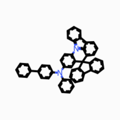 c1ccc(-c2ccc(N(c3ccccc3)c3ccc4c(c3)C3(c5ccccc5-c5ccccc53)c3cccc5c6ccccc6n-4c35)cc2)cc1